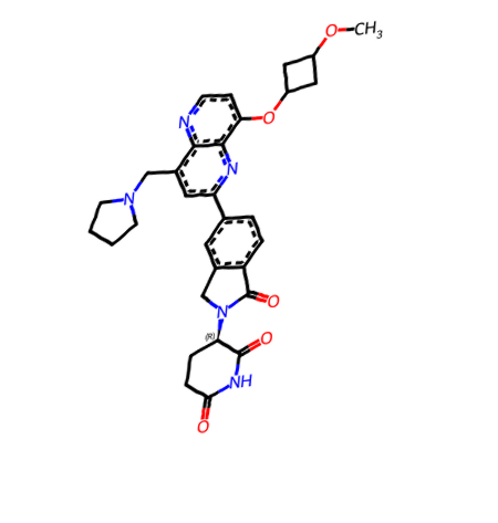 COC1CC(Oc2ccnc3c(CN4CCCC4)cc(-c4ccc5c(c4)CN([C@@H]4CCC(=O)NC4=O)C5=O)nc23)C1